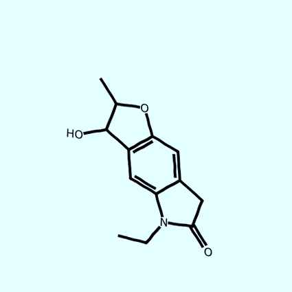 CCN1C(=O)Cc2cc3c(cc21)C(O)C(C)O3